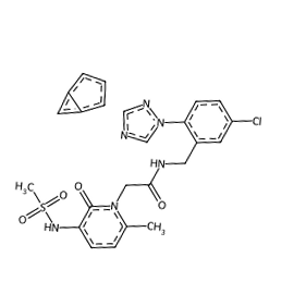 Cc1ccc(NS(C)(=O)=O)c(=O)n1CC(=O)NCc1cc(Cl)ccc1-n1cncn1.c1cc2cc-2c1